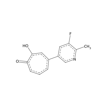 Cc1ncc(-c2cccc(=O)c(O)c2)cc1F